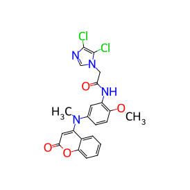 COc1ccc(N(C)c2cc(=O)oc3ccccc23)cc1NC(=O)Cn1cnc(Cl)c1Cl